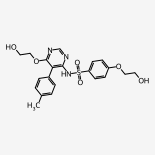 Cc1ccc(-c2c(NS(=O)(=O)c3ccc(OCCO)cc3)ncnc2OCCO)cc1